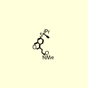 C#CC(Sc1ccc2c(c1)=COCC=2CCC(=O)NC)C(C)C